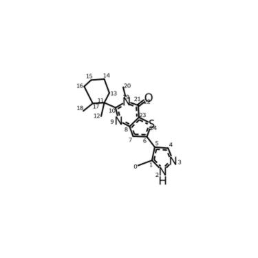 Cc1[nH]ncc1-c1cc2nc(C3(C)CCCCC3C)n(C)c(=O)c2s1